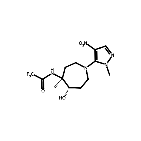 Cn1ncc([N+](=O)[O-])c1N1CC[C@H](O)[C@@](C)(NC(=O)C(F)(F)F)CC1